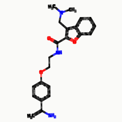 C=C(N)c1ccc(OCCNC(=O)c2oc3ccccc3c2CN(C)C)cc1